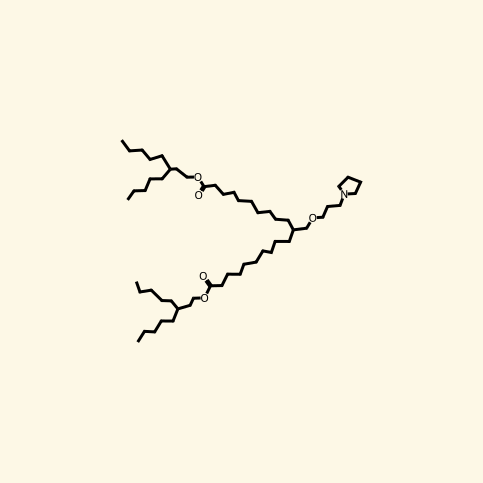 CCCCCC(CCCCC)CCOC(=O)CCCCCCCCCC(CCCCCCCCCC(=O)OCCC(CCCCC)CCCCC)COCCCN1CCCC1